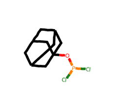 ClP(Cl)OC12CC3CC(CC(C3)C1)C2